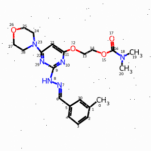 Cc1cccc(C=NNc2nc(OCCOC(=O)N(C)C)cc(N3CCOCC3)n2)c1